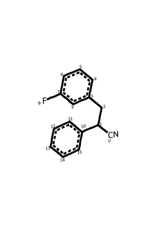 N#C[C](Cc1cccc(F)c1)c1ccccc1